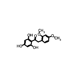 COc1ccc(CC(=O)c2c(O)cc(O)cc2O)c(OC)c1